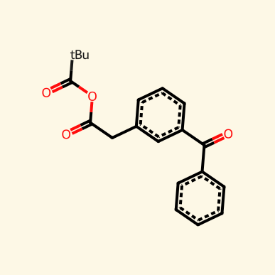 CC(C)(C)C(=O)OC(=O)Cc1cccc(C(=O)c2ccccc2)c1